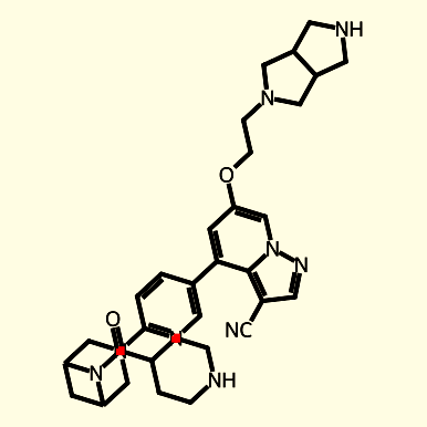 N#Cc1cnn2cc(OCCN3CC4CNCC4C3)cc(-c3ccc(N4CC5CC(C4)N5C(=O)C4CCNCC4)nc3)c12